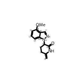 C=C1CCC(n2ncc3c(OC)cccc32)C(=O)N1